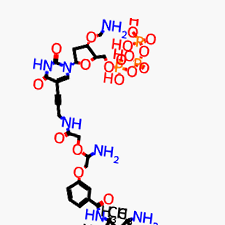 CC(C)(N)CC(C)(C)NC(=O)c1cccc(OCC(N)OCC(=O)NCC#Cc2cn([C@H]3C[C@@H](OCN)C(COP(=O)(O)OP(=O)(O)OP(=O)(O)O)O3)c(=O)[nH]c2=O)c1